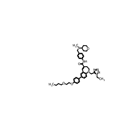 CCCCOCCOc1ccc(-c2ccc3c(c2)C=C(C(=O)Nc2ccc(CN(C)C4CCOCC4)cc2)CCN3Cc2nnnn2CC)cc1